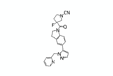 N#CN1CCC(F)(C(=O)N2CCc3cc(-c4ccnn4Cc4ccccn4)ccc32)C1